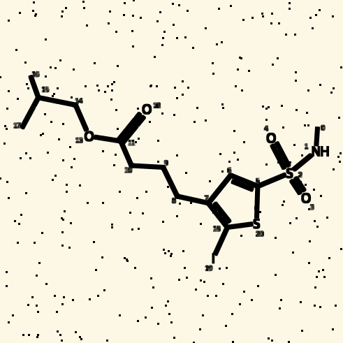 CNS(=O)(=O)c1cc(CCCC(=O)OCC(C)C)c(I)s1